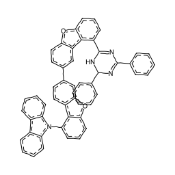 c1ccc(C2=NC(c3ccccc3)NC(c3cccc4oc5ccc(-c6ccc7c(c6)oc6cccc(-n8c9ccccc9c9ccccc98)c67)cc5c34)=N2)cc1